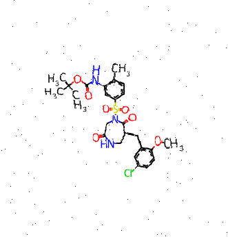 COc1ccc(Cl)cc1CC1CNC(=O)CN(S(=O)(=O)c2ccc(C)c(NC(=O)OC(C)(C)C)c2)C1=O